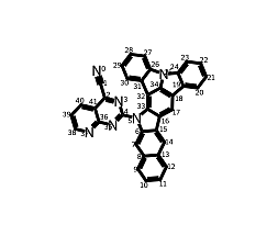 N#Cc1nc(-n2c3cc4ccccc4cc3c3cc4c5ccccc5n5c6ccccc6c(c32)c45)nc2ncccc12